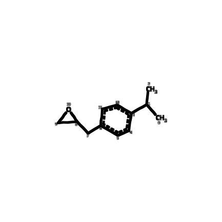 CC(C)c1ccc(CC2CO2)cc1